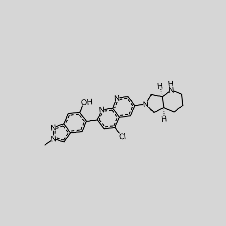 Cn1cc2cc(-c3cc(Cl)c4cc(N5C[C@@H]6CCCN[C@@H]6C5)cnc4n3)c(O)cc2n1